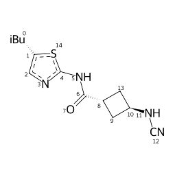 CC[C@@H](C)c1cnc(NC(=O)[C@H]2C[C@H](NC#N)C2)s1